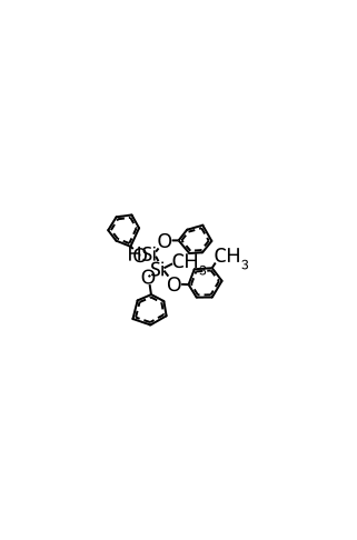 Cc1cccc(O[Si](C)(Oc2ccccc2)[SiH](Oc2ccccc2)Oc2ccccc2)c1